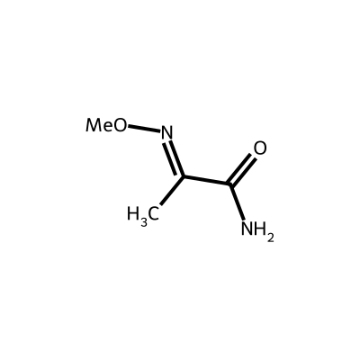 CO/N=C(\C)C(N)=O